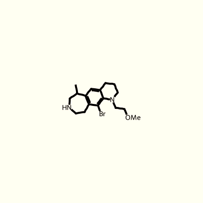 COCCN1CCCc2cc3c(c(Br)c21)CCNCC3C